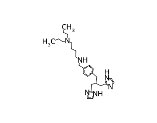 CCCN(CCC)CCCCNCc1ccc(CC(Cc2ncc[nH]2)Cc2ncc[nH]2)cc1